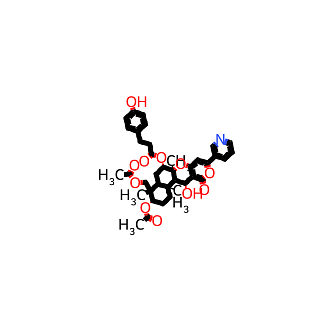 CC(=O)OCC1(C)C2C[C@H](OC(=O)CCc3ccc(O)cc3)[C@@]3(C)Oc4cc(-c5cccnc5)oc(=O)c4[C@H](O)C3[C@@]2(C)CC[C@@H]1OC(C)=O